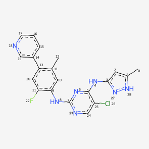 Cc1cc(Nc2nc(Nc3cc(C)c(-c4cccnc4)cc3F)ncc2Cl)n[nH]1